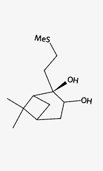 CSCC[C@]1(O)C(O)CC2CC1C2(C)C